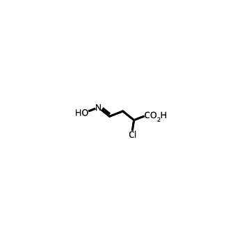 O=C(O)C(Cl)CC=NO